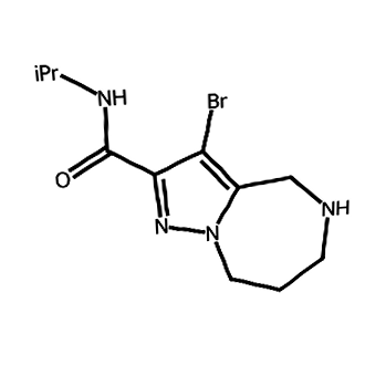 CC(C)NC(=O)c1nn2c(c1Br)CNCCC2